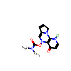 CN(C)C(=O)ON1C=C2C=CCN2c2c1c(=O)ccn2Cl